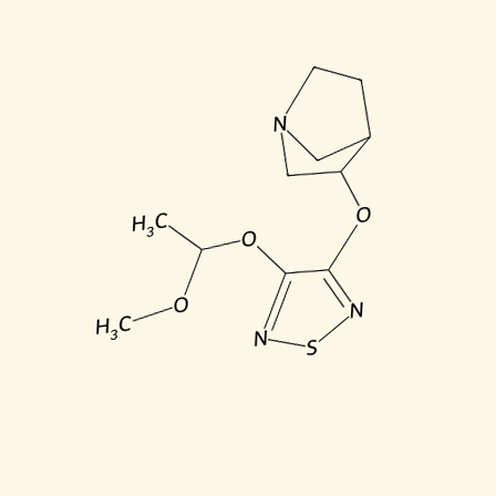 COC(C)Oc1nsnc1OC1CN2CCC1C2